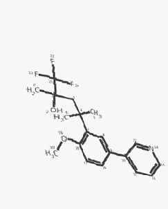 [CH2]C(O)(CC(C)(C)c1cc(-c2cccnc2)ccc1OC)C(F)(F)F